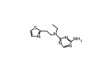 CCN(CCc1nccs1)c1ncnc(N)n1